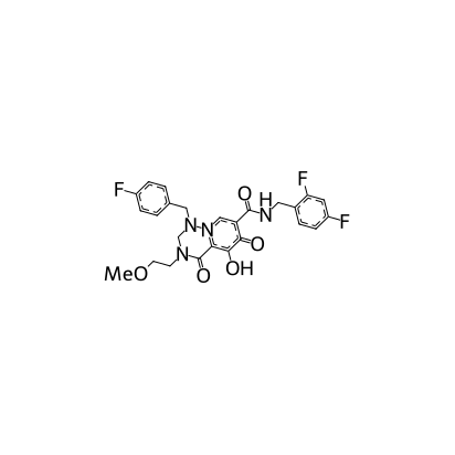 COCCN1CN(Cc2ccc(F)cc2)n2cc(C(=O)NCc3ccc(F)cc3F)c(=O)c(O)c2C1=O